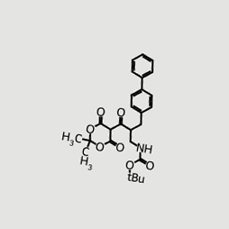 CC(C)(C)OC(=O)NCC(Cc1ccc(-c2ccccc2)cc1)C(=O)C1C(=O)OC(C)(C)OC1=O